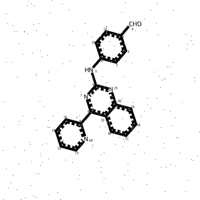 O=Cc1ccc(Nc2nc(-c3ccccn3)c3ccccc3n2)cc1